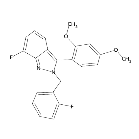 COc1ccc(-c2c3cccc(F)c3nn2Cc2ccccc2F)c(OC)c1